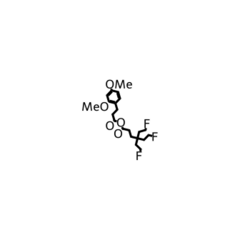 COc1ccc(CCC(=O)OC(=O)CCC(CCF)(CCF)CCF)c(OC)c1